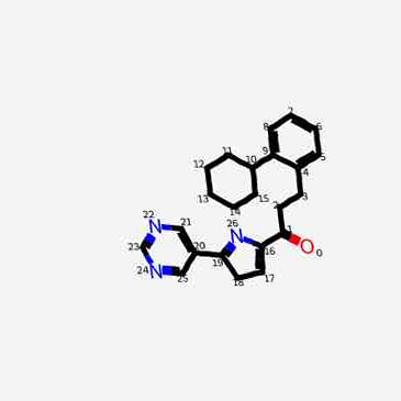 O=C(CCc1ccccc1C1CCCCC1)C1=CCC(c2cncnc2)=N1